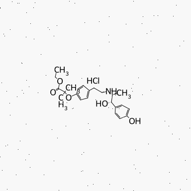 CCOC(=O)C(C)(C)Oc1ccc(CCN[C@@H](C)[C@@H](O)c2ccc(O)cc2)cc1.Cl